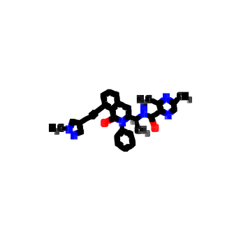 Cc1cnc(C(=O)N[C@@H](C)c2cc3cccc(C#Cc4cnn(C)c4)c3c(=O)n2-c2ccccc2)c(C)n1